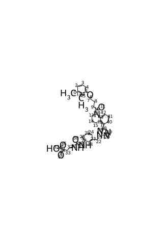 Cc1cccc(OCCCC(=O)N2CCCc3c(-c4nnn(Cc5cccc(NC(=O)NCCS(=O)(=O)O)c5)n4)cccc32)c1C